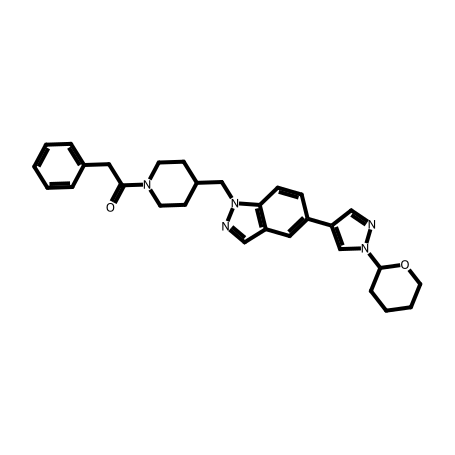 O=C(Cc1ccccc1)N1CCC(Cn2ncc3cc(-c4cnn(C5CCCCO5)c4)ccc32)CC1